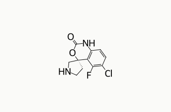 O=C1Nc2ccc(Cl)c(F)c2[C@]2(CCNC2)O1